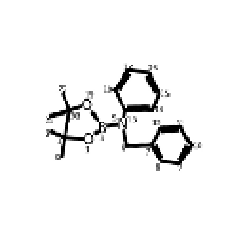 CC1(C)OB(N(Cc2ccccc2)c2ccccc2)OC1(C)C